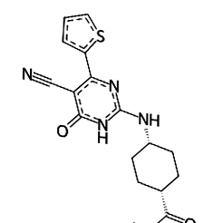 N#Cc1c(-c2cccs2)nc(N[C@H]2CC[C@@H](C(=O)O)CC2)[nH]c1=O